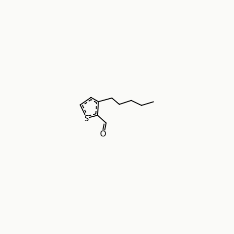 CCCCCc1ccsc1C=O